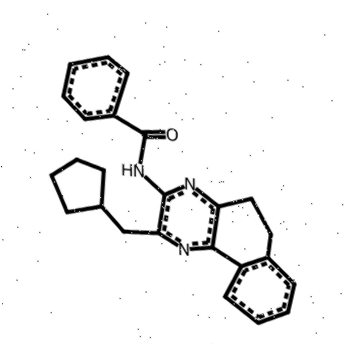 O=C(Nc1nc2c(nc1CC1CCCC1)-c1ccccc1CC2)c1ccccc1